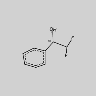 O[C@@H](c1ccccc1)C(F)F